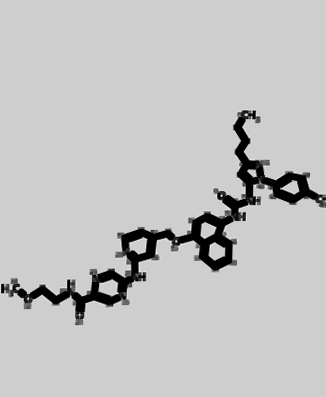 CCCCc1cc(NC(=O)Nc2ccc(OCc3ccnc(Nc4cnc(C(=O)NCCOC)cn4)c3)c3ccccc23)n(-c2ccc(C)cc2)n1